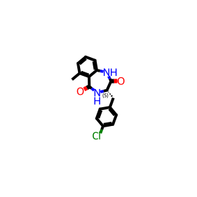 Cc1cccc2c1C(=O)N[C@@H](Cc1ccc(Cl)cc1)C(=O)N2